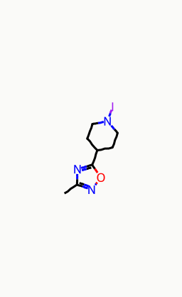 Cc1noc(C2CCN(I)CC2)n1